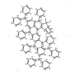 CC1(C)C2=C(B3c4cc5c(cc4N(c4ccccc4)c4cc(N(c6ccccc6)c6ccccc6)cc(c43)N2c2ccccc2)N(c2ccccc2)c2cc(N(c3ccccc3)c3ccccc3)cc3c2B5c2ccccc2N3c2ccccc2)c2ccccc21